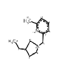 CCC1CCN(Cc2cccc(C)n2)C1